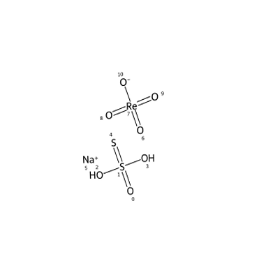 O=S(O)(O)=S.[Na+].[O]=[Re](=[O])(=[O])[O-]